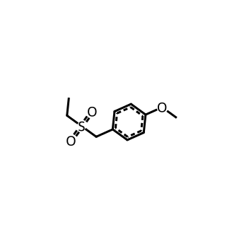 CCS(=O)(=O)Cc1ccc(OC)cc1